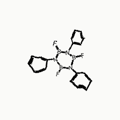 FB1N(c2ccccc2)B(F)N(c2ccccc2)B(F)N1c1ccccc1